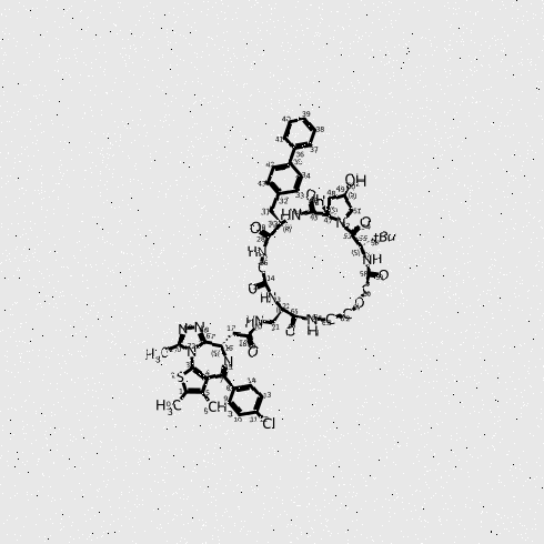 Cc1sc2c(c1C)C(c1ccc(Cl)cc1)=N[C@@H](CC(=O)NC[C@H]1NC(=O)CNC(=O)[C@@H](Cc3ccc(-c4ccccc4)cc3)NC(=O)[C@@H]3C[C@@H](O)CN3C(=O)[C@H](C(C)(C)C)NC(=O)COCCNC1=O)c1nnc(C)n1-2